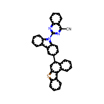 N#Cc1nc(-n2c3ccccc3c3cc(-c4cc5sc6ccccc6c5c5ccccc45)ccc32)nc2ccccc12